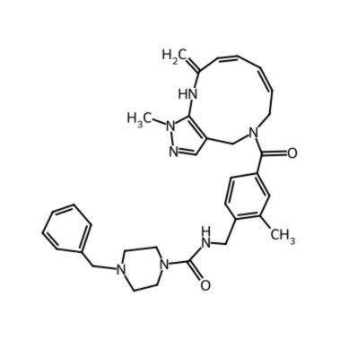 C=C1/C=C\C=C/CN(C(=O)c2ccc(CNC(=O)N3CCN(Cc4ccccc4)CC3)c(C)c2)Cc2cnn(C)c2N1